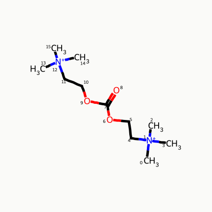 C[N+](C)(C)CCOC(=O)OCC[N+](C)(C)C